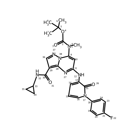 CN(C(=O)OC(C)(C)C)c1cc(Nc2cccn(-c3ccc(F)cc3)c2=O)nc2c(C(=O)NC3CC3)cnn12